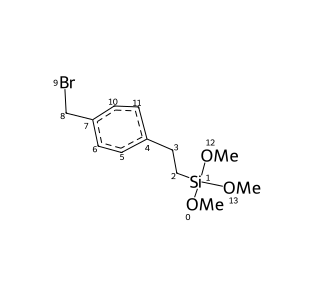 CO[Si](CCc1ccc(CBr)cc1)(OC)OC